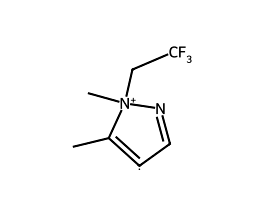 CC1=[C]C=N[N+]1(C)CC(F)(F)F